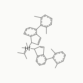 C[C](C)=[Hf]([CH3])([CH3])([CH]1C=Cc2c(-c3c(C)cccc3C)cccc21)[CH]1C=Cc2c(-c3c(C)cccc3C)cccc21